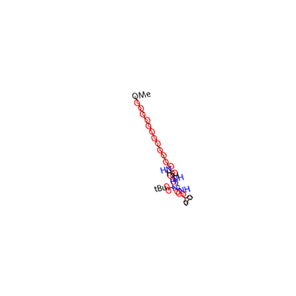 COCCOCCOCCOCCOCCOCCOCCOCCOCCOCCOCCOCCC(=O)N[C@H]1CO[C@H]2[C@@H]1OC[C@@H]2NC(=O)CCC[C@H](NC(=O)OCC1c2ccccc2-c2ccccc21)C(=O)NCCC(=O)OC(C)(C)C